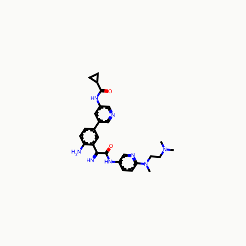 CN(C)CCN(C)c1ccc(NC(=O)C(=N)c2cc(-c3cncc(NC(=O)C4CC4)c3)ccc2N)cn1